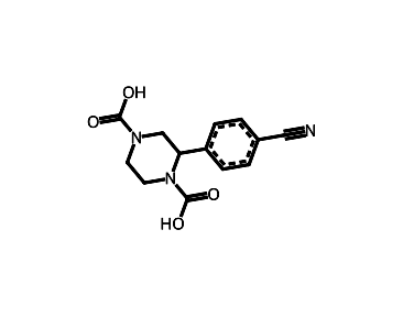 N#Cc1ccc(C2CN(C(=O)O)CCN2C(=O)O)cc1